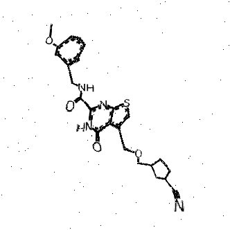 COc1cccc(CNC(=O)c2nc3scc(COCC4CCC(C#N)C4)c3c(=O)[nH]2)c1